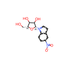 O=[N+]([O-])c1ccc2c(ccn2[C@@H]2O[C@H](CO)C(O)C2O)c1